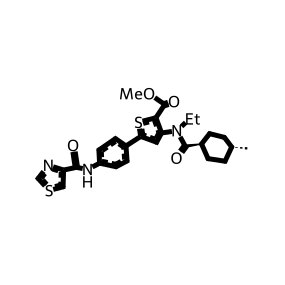 CCN(c1cc(-c2ccc(NC(=O)c3cscn3)cc2)sc1C(=O)OC)C(=O)[C@H]1CC[C@H](C)CC1